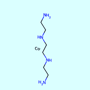 NCCNCCNCCN.[Co]